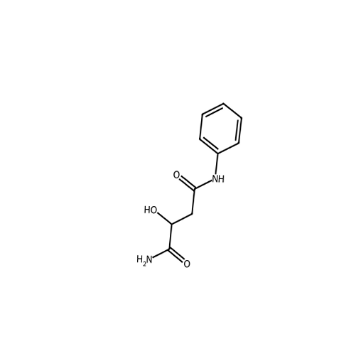 NC(=O)C(O)CC(=O)Nc1ccccc1